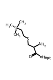 CCCCCCCC(=O)C(N)CSCC[Si](C)(C)C